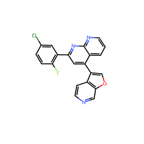 Fc1ccc(Cl)cc1-c1cc(-c2coc3cnccc23)c2cccnc2n1